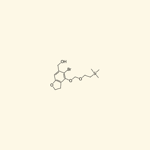 C[Si](C)(C)CCOCOc1c(Br)c(CO)cc2c1CCO2